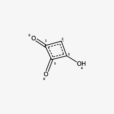 O=c1[c]c(O)c1=O